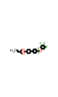 C/C=C/C1COC(C2CCC(c3ccc(C(F)(F)Oc4cc(F)c(F)c(F)c4)cc3)CC2)OC1